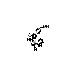 COc1cc(N2CCN(CCO)CC2)ccc1Nc1ncc(C#N)c(-c2cnc3ccccn23)n1